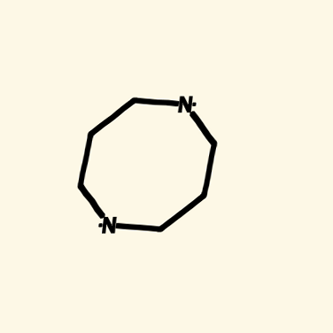 C1C[N]CCC[N]C1